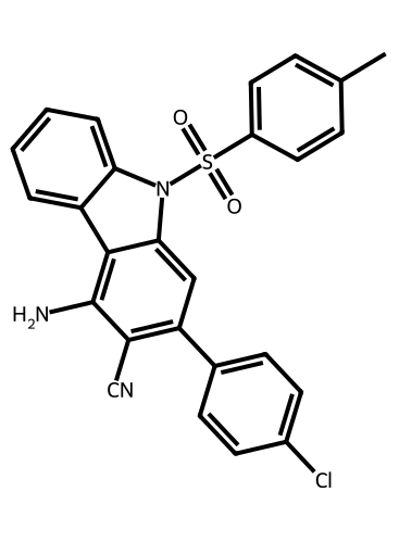 Cc1ccc(S(=O)(=O)n2c3ccccc3c3c(N)c(C#N)c(-c4ccc(Cl)cc4)cc32)cc1